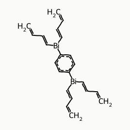 C=CC=[CH][Bi]([CH]=CC=C)[c]1cc[c]([Bi]([CH]=CC=C)[CH]=CC=C)cc1